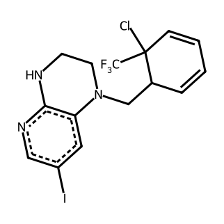 FC(F)(F)C1(Cl)C=CC=CC1CN1CCNc2ncc(I)cc21